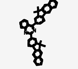 CC1(C)c2cc(-c3nc(-c4ccc5c(c4)C(C)(C)c4cc6ccccc6cc4-5)c4ccccc4n3)ccc2-c2cc3ccccc3cc21